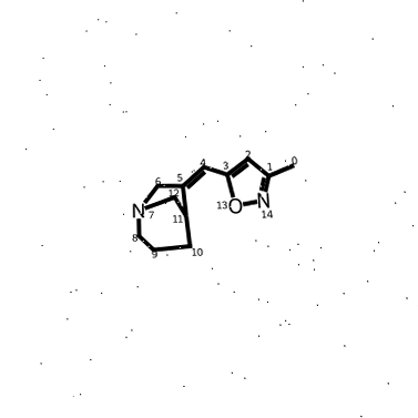 Cc1cc(/C=C2/CN3CCCC2C3)on1